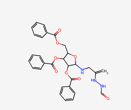 C=C(CNC1OC(COC(=O)c2ccccc2)C(OC(=O)c2ccccc2)C1OC(=O)c1ccccc1)NNC=O